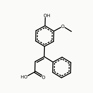 COc1cc(C(=CC(=O)O)c2ccccc2)ccc1O